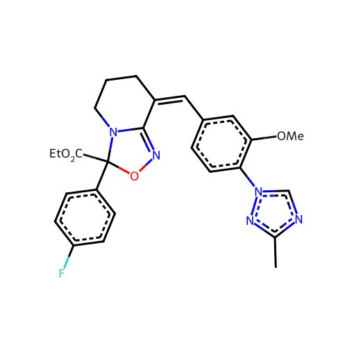 CCOC(=O)C1(c2ccc(F)cc2)ON=C2/C(=C\c3ccc(-n4cnc(C)n4)c(OC)c3)CCCN21